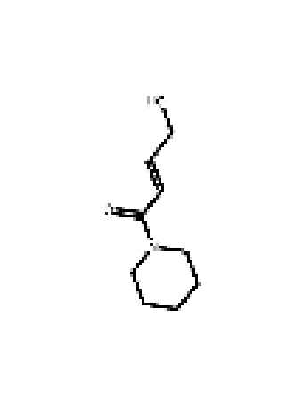 O=C(C=CCO)N1CC[CH]CC1